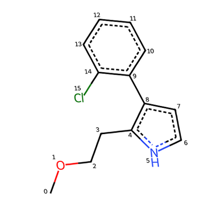 COCCc1[nH]ccc1-c1ccccc1Cl